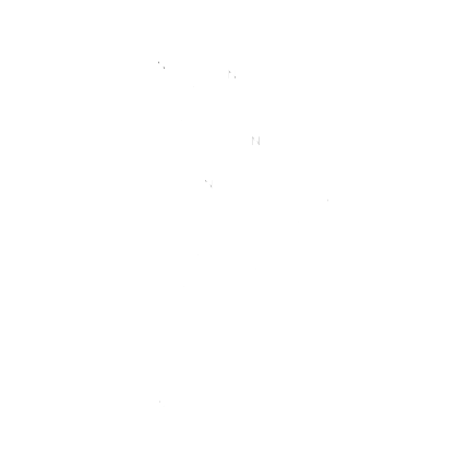 Oc1ccc(Sc2ccc(O)cc2Nc2ncnc3ncccc23)cc1